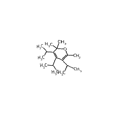 CC1=C(C(C)C)C(C(C)C)=C(C(C)C)C(C)(C)O1